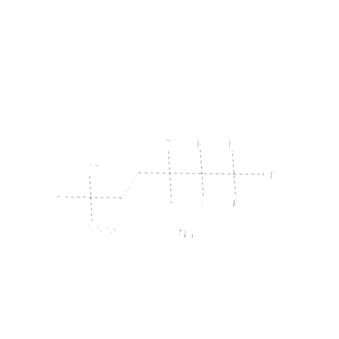 O=C([O-])C(F)(CCC(F)(F)C(F)(F)C(F)(F)C(F)(F)F)C(F)(F)F.[Na+]